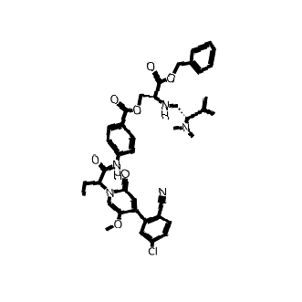 CCC(C(=O)Nc1ccc(C(=O)OC[C@H](NC[C@H](C(C)C)N(C)C)C(=O)OCc2ccccc2)cc1)n1cc(OC)c(-c2cc(Cl)ccc2C#N)cc1=O